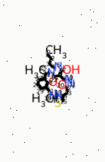 CCCCc1nc(O)c(-c2nnc(Cc3csc(C)n3)o2)c(=O)n1[C@@H](C)c1cccc(C#N)c1